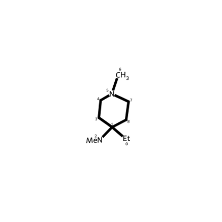 CCC1(NC)CCN(C)CC1